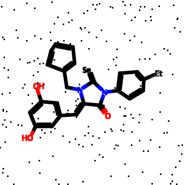 CCc1ccc(N2C(=O)C(=Cc3cc(O)cc(O)c3)N(Cc3ccccc3)C2=[Se])cc1